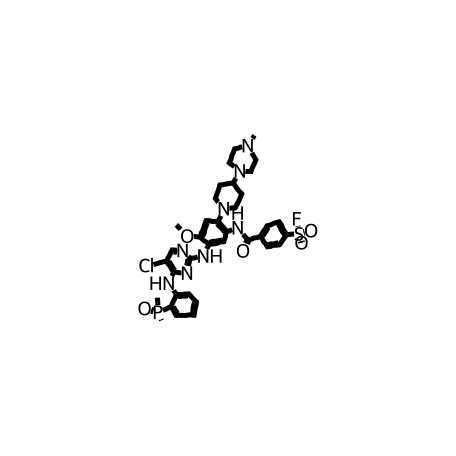 COc1cc(N2CCC(N3CCN(C)CC3)CC2)c(NC(=O)c2ccc(S(=O)(=O)F)cc2)cc1Nc1ncc(Cl)c(Nc2ccccc2P(C)(C)=O)n1